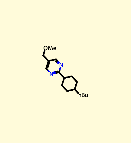 CCCCC1CCC(c2ncc(COC)cn2)CC1